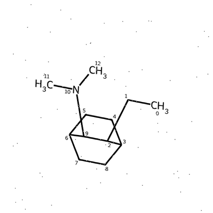 CCC1C2CCC(CC2)C1N(C)C